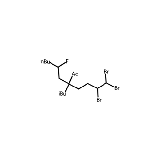 CCCCC(F)CC(CCC(Br)C(Br)Br)(C(C)=O)C(C)CC